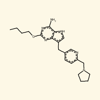 CCCCOc1nc(N)c2[nH]cc(Cc3ccc(CN4CCCC4)nc3)c2n1